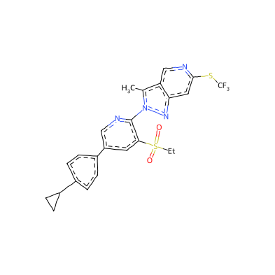 CCS(=O)(=O)c1cc(-c2ccc(C3CC3)cc2)cnc1-n1nc2cc(SC(F)(F)F)ncc2c1C